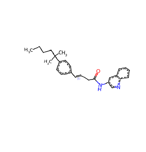 CCCCC(C)(C)c1ccc(/C=C/CC(=O)Nc2cnc3ccccc3c2)cc1